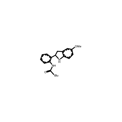 COc1ccc2c(c1)CC(c1ccccc1NC(=O)C(C)(C)C)N2